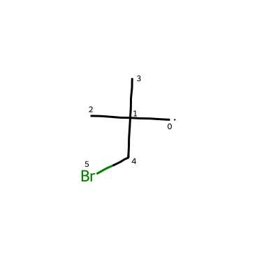 [CH2]C(C)(C)CBr